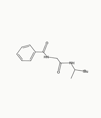 CC(NC(=O)CNC(=O)c1ccccc1)C(C)(C)C